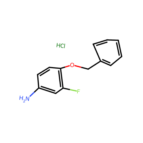 Cl.Nc1ccc(OCc2ccccc2)c(F)c1